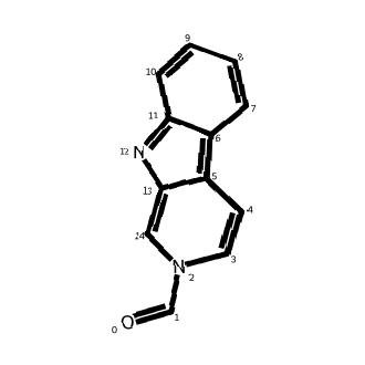 O=Cn1ccc2c3ccccc3nc-2c1